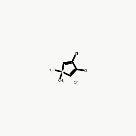 C[P+]1(C)C=C(Cl)C(Cl)=C1.[Cl-]